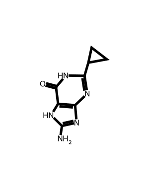 Nc1nc2nc(C3CC3)[nH]c(=O)c2[nH]1